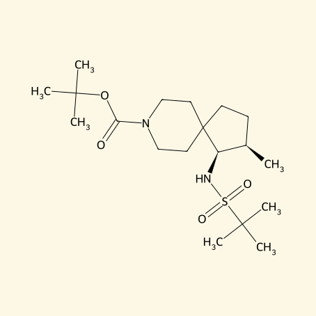 C[C@@H]1CCC2(CCN(C(=O)OC(C)(C)C)CC2)[C@@H]1NS(=O)(=O)C(C)(C)C